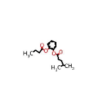 CCCC(=O)Oc1ccccc1OC(=O)CCC(C)C